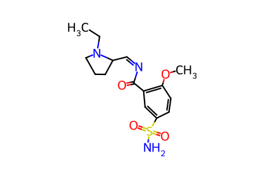 CCN1CCCC1/C=N\C(=O)c1cc(S(N)(=O)=O)ccc1OC